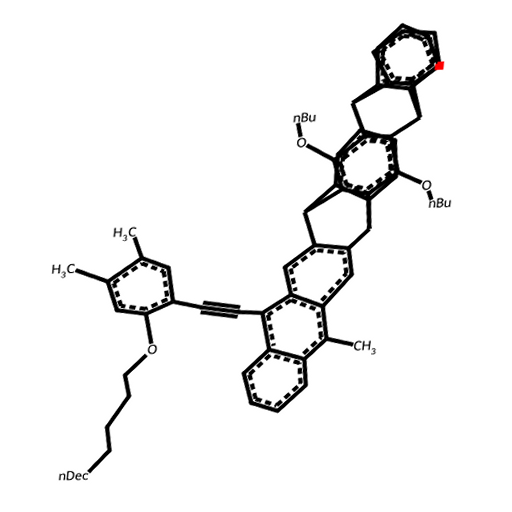 CCCCCCCCCCCCCCOc1cc(C)c(C)cc1C#Cc1c2ccccc2c(C)c2cc3c(cc12)C1c2ccccc2C3c2c(OCCCC)c3c(c(OCCCC)c21)C1c2ccccc2C3c2ccccc21